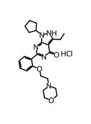 CCc1[nH]n(C2CCCC2)c2nc(-c3ccccc3OCCN3CCOCC3)nc(=O)c1-2.Cl